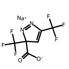 O=C([O-])C1(C(F)(F)F)C=C(C(F)(F)F)N=N1.[Na+]